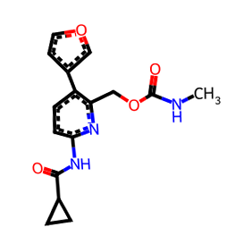 CNC(=O)OCc1nc(NC(=O)C2CC2)ccc1-c1ccoc1